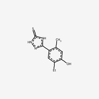 CCc1cc(-c2n[nH]c(=S)[nH]2)c(C)cc1O